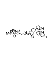 C=C1CCC(C2=C(C3=CCCC(C)N3)NCCC2)CC1CC(CC)C/C=C/CCCCC[C@H](NCCC)C(=O)OC